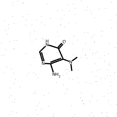 CN(C)c1c(N)nc[nH]c1=O